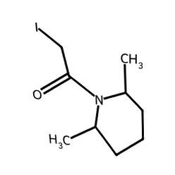 CC1CCCC(C)N1C(=O)CI